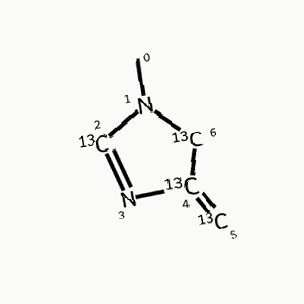 CN1[13CH]=N[13C](=[13CH2])[13CH2]1